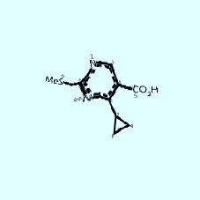 CSc1ncc(C(=O)O)c(C2CC2)n1